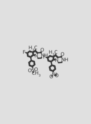 Cc1c2n(c3c(-c4ccc(S(C)(=O)=O)cc4)cc(F)cc13)CCNC2=O.Cc1c2n(c3c(-c4ccc([N+](=O)[O-])cc4)cc(F)cc13)CCNC2=O